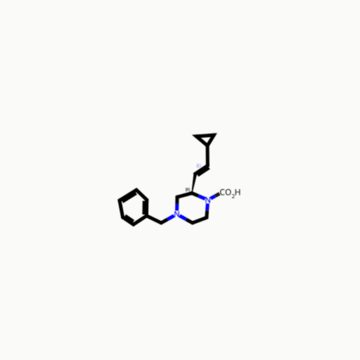 O=C(O)N1CCN(Cc2ccccc2)C[C@H]1/C=C/C1CC1